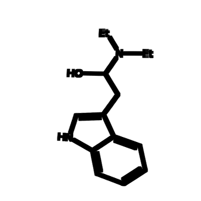 CCN(CC)C(O)Cc1c[nH]c2ccccc12